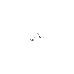 [C].[Co].[Mn].[N]